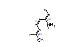 C\C=C(N)/C=C\C=C(/C)S